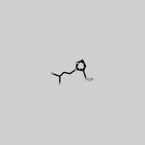 CCOC(=O)c1ccnn1CCC(F)F